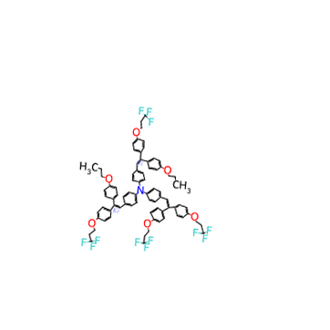 CCCOc1ccc(/C(=C\c2ccc(N(c3ccc(C=C(c4ccc(OCCC(F)(F)F)cc4)c4ccc(OCCC(F)(F)F)cc4)cc3)c3ccc(/C=C(\c4ccc(OCCC)cc4)c4ccc(OCCC(F)(F)F)cc4)cc3)cc2)c2ccc(OCCC(F)(F)F)cc2)cc1